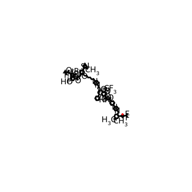 Cc1ncsc1-c1ccc(CNC(=O)[C@@H]2C[C@@H](O)CN2C(=O)[C@@H](NC(=O)C2(F)CC2)C(C)(C)C)c(OCCCCCN2CCN(CC[C@H](CSc3ccccc3)Nc3ccc(S(=O)(=O)NC(=O)c4ccc(N5CCN(CC6=C(C78CC(C(F)F)(C7)C8)CC(C)(C)CC6)CC5)cc4)cc3S(=O)(=O)C(F)(F)F)CC2)c1